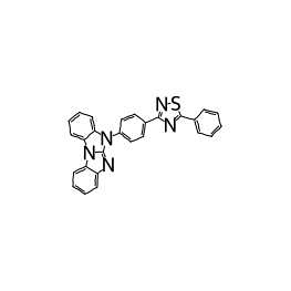 c1ccc(-c2nc(-c3ccc(-n4c5ccccc5n5c6ccccc6nc45)cc3)ns2)cc1